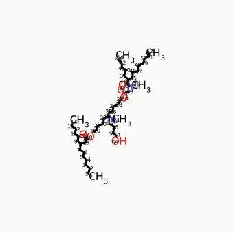 CCCCCCCCC(CCCCCC)CC(=O)OCCCCCC(CCCCCOC(=O)CN(C)C(=O)C(CCCCCC)CCCCCCCC)N(C)CCCCO